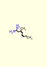 CC/C=C\C=C(\C)CC(N)N